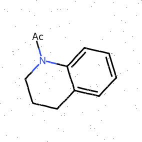 CC(=O)N1CCCc2cc[c]cc21